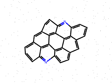 c1cc2cc3ccc4nc5cccc6cc7ccc8nc(c1)c2c1c3c4c(c65)c7c81